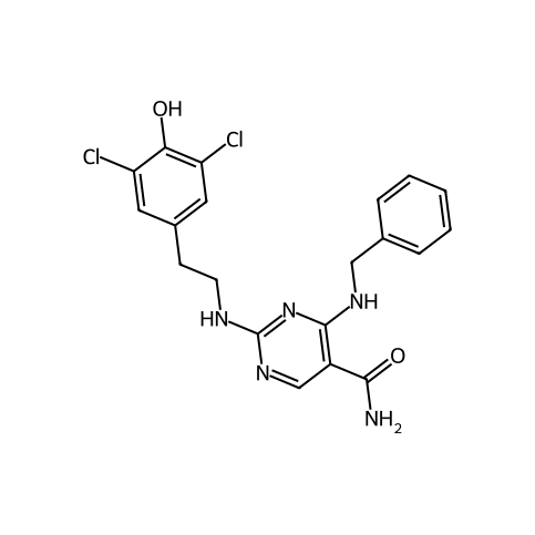 NC(=O)c1cnc(NCCc2cc(Cl)c(O)c(Cl)c2)nc1NCc1ccccc1